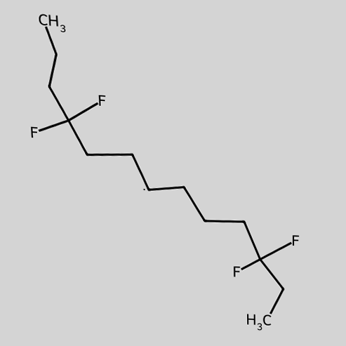 CCCC(F)(F)CC[CH]CCCC(F)(F)CC